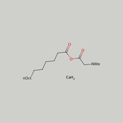 CCCCCCCCCCCCCC(=O)OC(=O)CNC.[CaH2]